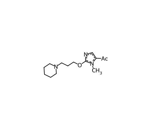 CC(=O)c1cnc(OCCCN2CCCCC2)n1C